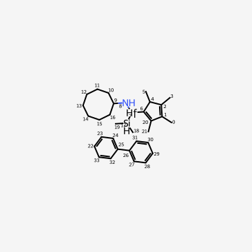 CC1=C(C)C(C)[C]([Hf]([NH]C2CCCCCCC2)[SiH](C)C)=C1C.c1ccc(-c2ccccc2)cc1